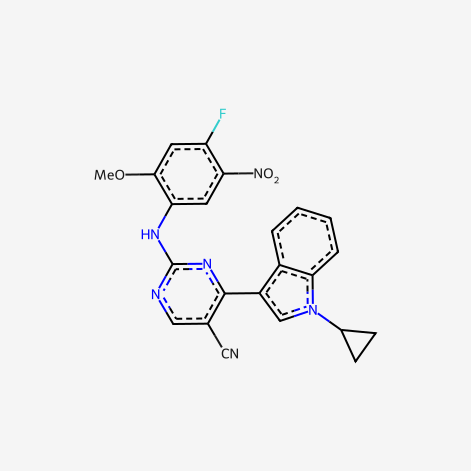 COc1cc(F)c([N+](=O)[O-])cc1Nc1ncc(C#N)c(-c2cn(C3CC3)c3ccccc23)n1